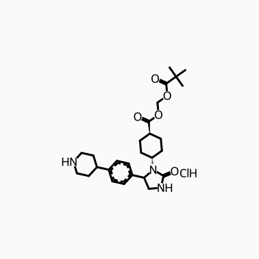 CC(C)(C)C(=O)OCOC(=O)[C@H]1CC[C@H](N2C(=O)NCC2c2ccc(C3CCNCC3)cc2)CC1.Cl